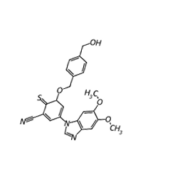 COc1cc2ncn(C3=CC(OCc4ccc(CO)cc4)C(=S)C(C#N)=C3)c2cc1OC